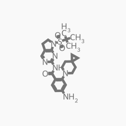 CC(C)(C)S(=O)(=O)N1CCc2cnc(NC(=O)c3ccc(N)cc3N3CCC4(CC3)CC4)nc21